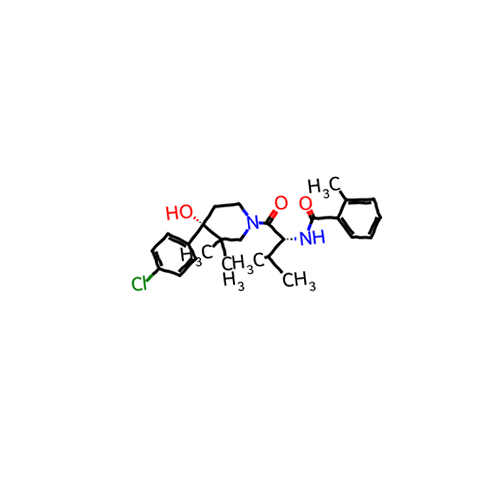 Cc1ccccc1C(=O)N[C@@H](C(=O)N1CC[C@](O)(c2ccc(Cl)cc2)C(C)(C)C1)C(C)C